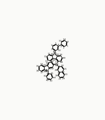 c1ccc(-c2cccc(-n3c4ccccc4c4c(N(c5ccc6ccccc6c5)c5ccc6c7ccccc7n(-c7ccccc7)c6c5)cccc43)c2)cc1